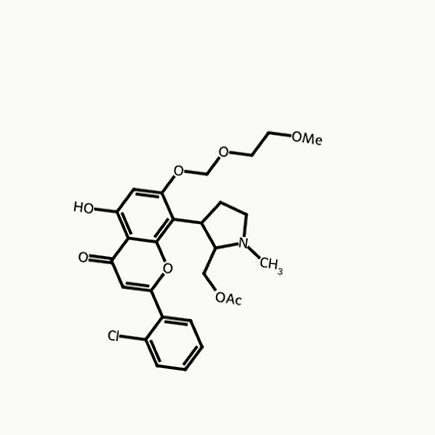 COCCOCOc1cc(O)c2c(=O)cc(-c3ccccc3Cl)oc2c1C1CCN(C)C1COC(C)=O